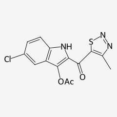 CC(=O)Oc1c(C(=O)c2snnc2C)[nH]c2ccc(Cl)cc12